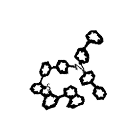 c1ccc(-c2ccc(N(c3ccc(-c4ccccc4)cc3)c3ccc(-c4cccc(-c5cccc6c5sc5c(-c7cccc8ccccc78)cccc56)c4)cc3)cc2)cc1